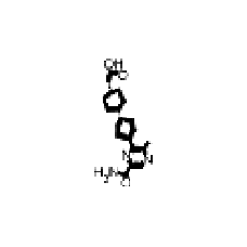 Cc1ncc(C(N)=O)nc1-c1ccc([C@H]2CC[C@@H](CC(=O)O)CC2)cc1